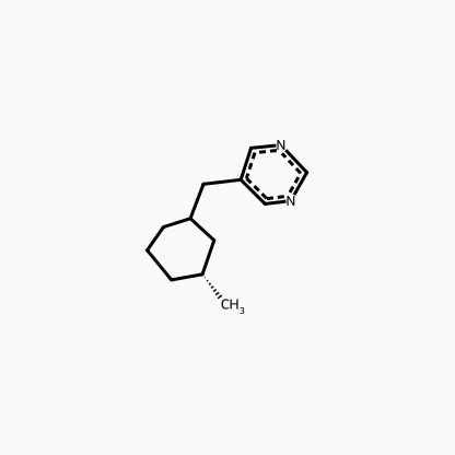 C[C@@H]1CCCC(Cc2cncnc2)C1